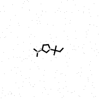 CCC(C)(C)N1CC[C@H](N(C)C)C1